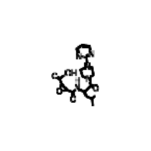 CC(C)CC(NC(=O)C1OC1C(=O)O)C(=O)N1CCN(c2ncccn2)CC1